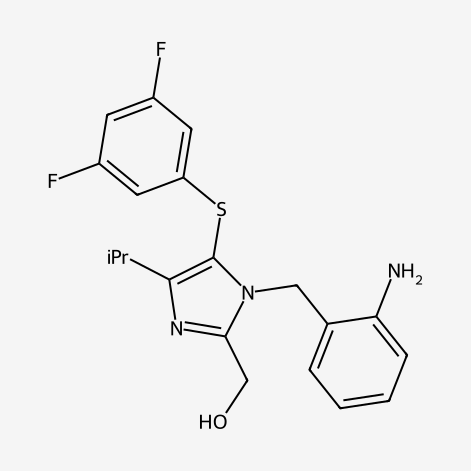 CC(C)c1nc(CO)n(Cc2ccccc2N)c1Sc1cc(F)cc(F)c1